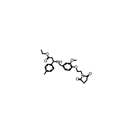 CCOC(=O)CC(NCc1ccc(OCCN2C(=O)CCC2=O)c(OC)c1)c1ccc(C)cc1